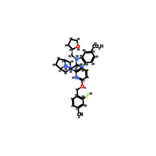 N#Cc1ccc(COc2cccc(N3CC4CCC(C3)N4Cc3nc4ccc(C(=O)O)cc4n3C[C@@H]3CCCO3)n2)c(F)c1